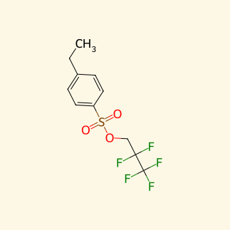 CCc1ccc(S(=O)(=O)OCC(F)(F)C(F)(F)F)cc1